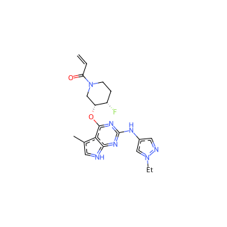 C=CC(=O)N1CC[C@H](F)[C@H](Oc2nc(Nc3cnn(CC)c3)nc3[nH]cc(C)c23)C1